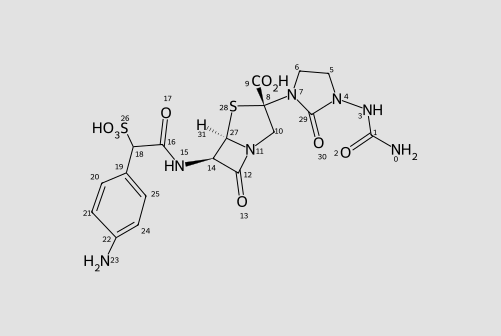 NC(=O)NN1CCN([C@]2(C(=O)O)CN3C(=O)[C@@H](NC(=O)C(c4ccc(N)cc4)S(=O)(=O)O)[C@H]3S2)C1=O